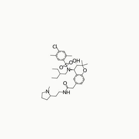 CCC(CC)CN([C@@H]1c2cc(CC(=O)NCCC3CCCN3C)ccc2OC(C)(C)[C@H]1O)S(=O)(=O)c1cc(C)c(Cl)cc1C